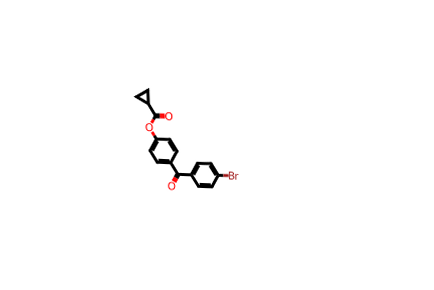 O=C(c1ccc(Br)cc1)c1ccc(OC(=O)C2CC2)cc1